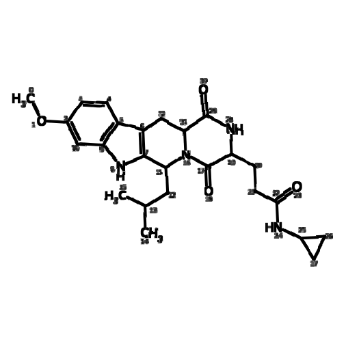 COc1ccc2c3c([nH]c2c1)C(CC(C)C)N1C(=O)C(CCC(=O)NC2CC2)NC(=O)C1C3